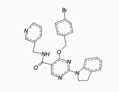 O=C(NCc1cccnc1)c1cnc(N2CCc3ccccc32)nc1OCc1ccc(Br)cc1